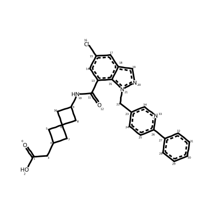 O=C(O)CC1CC2(C1)CC(NC(=O)c1cc(Cl)cc3cnn(Cc4ccc(-c5ccccc5)nc4)c13)C2